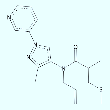 C=CCN(C(=O)C(C)CSC)c1cn(-c2cccnc2)nc1C